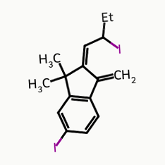 C=C1/C(=C\C(I)CC)C(C)(C)c2cc(I)ccc21